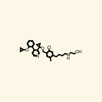 Cc1cc(COC2(c3cnccc3-c3ccccc3OC3CC3)CC2)c(Cl)cc1CCCCNCCO